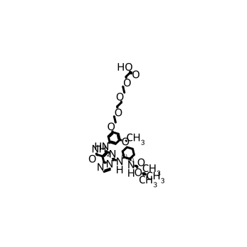 COc1cc(Nc2nc(N[C@H]3CCCC[C@H]3NC(=O)OC(C)(C)C)n3ccnc3c2C(N)=O)cc(OCCOCCOCCOCC(=O)O)c1